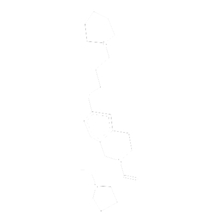 CN1CCC[C@H]1C(=O)N1CCc2cc(OCCCN3CCCCC3)ccc2C1